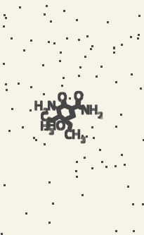 CCC1[C@H](N)C(=O)C(C(N)=O)=C[C@@]1(O)CC